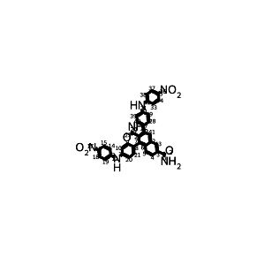 NC(=O)c1ccc2c(-c3ccc(Nc4ccc([N+](=O)[O-])cc4)cc3)c(C(N)=O)c(-c3ccc(Nc4ccc([N+](=O)[O-])cc4)cc3)cc2c1